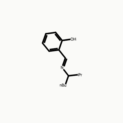 CCCCC(N=Cc1ccccc1O)C(C)C